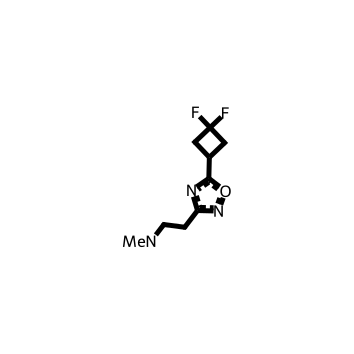 CNCCc1noc(C2CC(F)(F)C2)n1